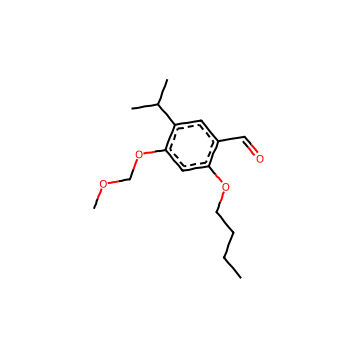 CCCCOc1cc(OCOC)c(C(C)C)cc1C=O